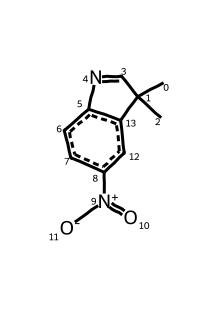 CC1(C)C=Nc2ccc([N+](=O)[O-])cc21